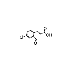 O=Cc1cc(Cl)ccc1/C=C/C(=O)O